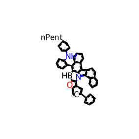 CCCCCc1ccc(Nc2ccccc2-c2c3c4c(c5ccccc25)c2ccc5ccccc5c2n4-c2c(oc4ccc(-c5ccccc5)cc24)B3)cc1